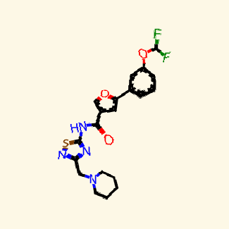 O=C(Nc1nc(CN2CCCCC2)ns1)c1coc(-c2cccc(OC(F)F)c2)c1